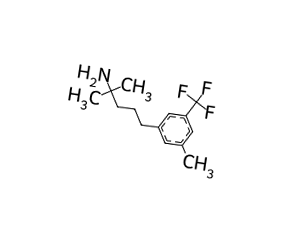 Cc1cc(CCCC(C)(C)N)cc(C(F)(F)F)c1